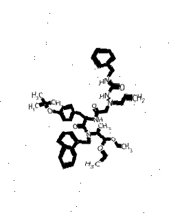 C=CCN(CC(=O)NC(Cc1ccc(OC(C)(C)C)cc1)C(=O)N(Cc1cccc2ccccc12)C(C)C(OCC)OCC)NC(=O)NCc1ccccc1